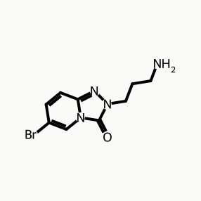 NCCCn1nc2ccc(Br)cn2c1=O